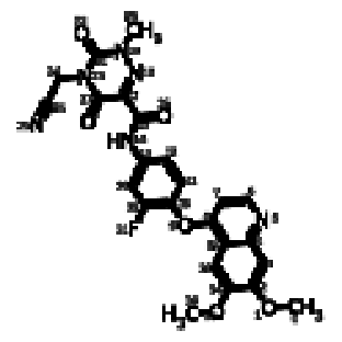 COc1cc2nccc(Oc3ccc(NC(=O)c4nn(C)c(=O)n(CC#N)c4=O)cc3F)c2cc1OC